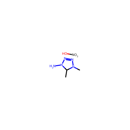 CC1N(C)N=NN1N.O=[N+]([O-])O